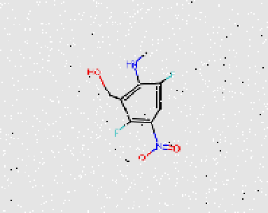 CNc1c(F)cc([N+](=O)[O-])c(F)c1CO